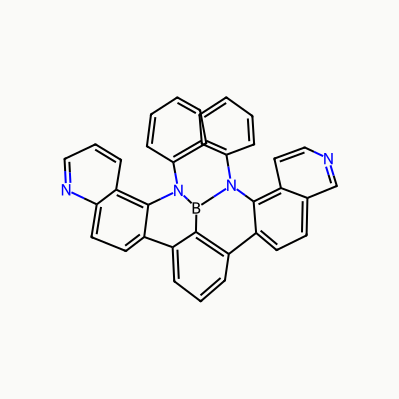 c1ccc(N2B3c4c(cccc4-c4ccc5ncccc5c4N3c3ccccc3)-c3ccc4cnccc4c32)cc1